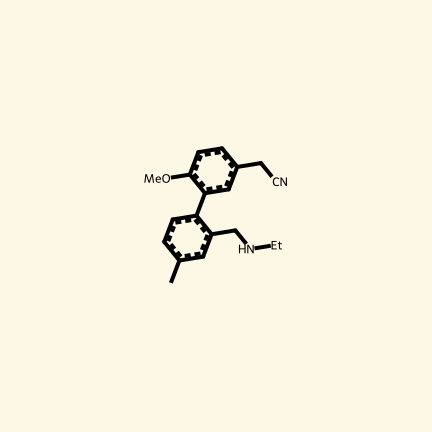 CCNCc1cc(C)ccc1-c1cc(CC#N)ccc1OC